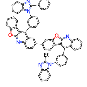 CCc1nc2ccccc2n1-c1cccc(-c2c3ccccc3nc3oc4cc(-c5ccc6nc7oc8ccccc8c7c(-c7cccc(-n8c(-c9ccccc9)nc9ccccc98)c7)c6c5)ccc4c23)c1